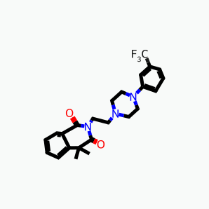 CC1(C)C(=O)N(CCN2CCN(c3cccc(C(F)(F)F)c3)CC2)C(=O)c2ccccc21